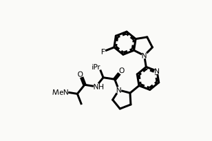 CNC(C)C(=O)NC(C(=O)N1CCCC1c1ccnc(N2CCc3ccc(F)cc32)c1)C(C)C